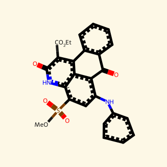 CCOC(=O)c1c2c3c(c(Nc4ccccc4)cc(S(=O)(=O)OC)c3[nH]c1=O)C(=O)c1ccccc1-2